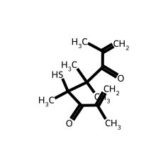 C=C(C)C(=O)C(C)(C)C(C)(S)C(=O)C(=C)C